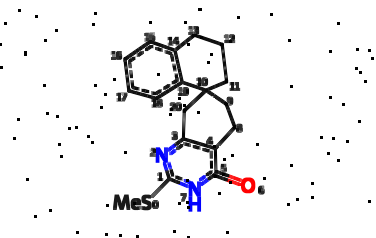 CSc1nc2c(c(=O)[nH]1)CCC1(CCCc3ccccc31)C2